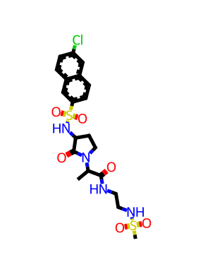 CC(C(=O)NCCNS(C)(=O)=O)N1CCC(NS(=O)(=O)c2ccc3cc(Cl)ccc3c2)C1=O